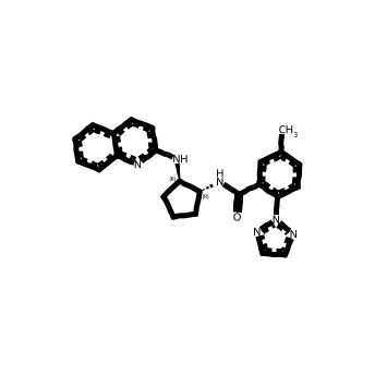 Cc1ccc(-n2nccn2)c(C(=O)N[C@@H]2CCC[C@H]2Nc2ccc3ccccc3n2)c1